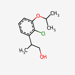 C[C](CO)c1cccc(OC(C)C)c1Cl